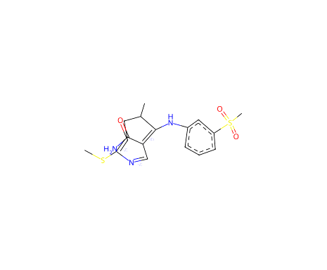 CSC1=C\CC(C)/C(Nc2cccc(S(C)(=O)=O)c2)=C(C(N)=O)/C=N\1